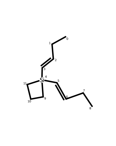 CCC=C[Si]1(C=CCC)CCC1